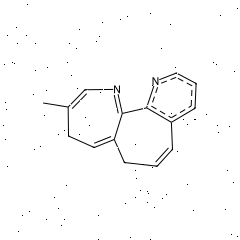 CC1=CN=C2C(=CC1)CC=Cc1cccnc12